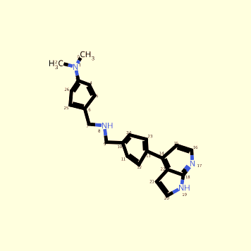 CN(C)c1ccc(CNCc2ccc(-c3ccnc4[nH]ccc34)cc2)cc1